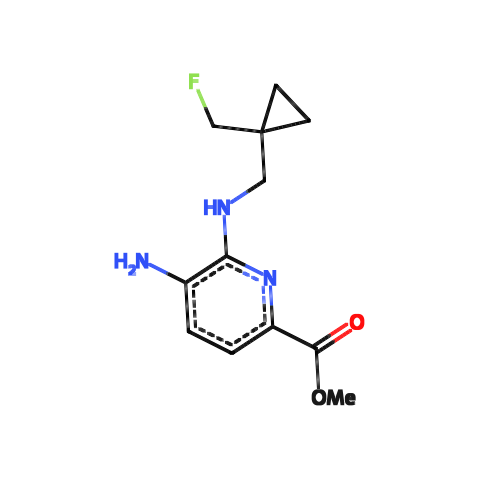 COC(=O)c1ccc(N)c(NCC2(CF)CC2)n1